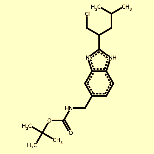 CC(C)CC(CCl)c1nc2cc(CNC(=O)OC(C)(C)C)ccc2[nH]1